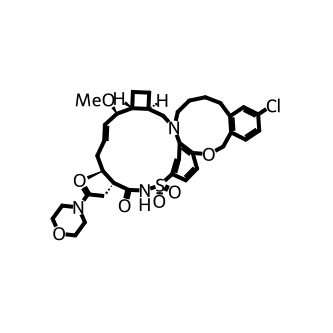 CO[C@@H]1/C=C/C[C@H](C)[C@@H](CC(=O)N2CCOCC2)C(=O)NS(=O)(=O)c2ccc3c(c2)N(CCCCc2cc(Cl)ccc2CO3)C[C@@H]2CC[C@H]21